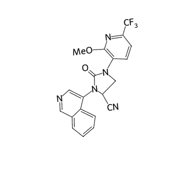 COc1nc(C(F)(F)F)ccc1N1CC(C#N)N(c2cncc3ccccc23)C1=O